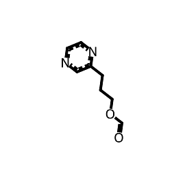 O=COCCCc1cnccn1